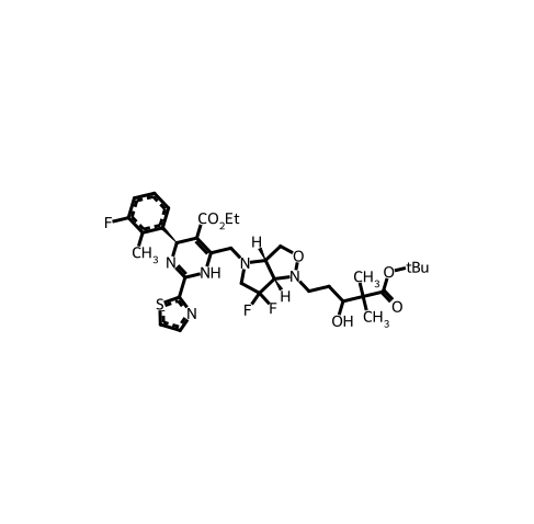 CCOC(=O)C1=C(CN2CC(F)(F)[C@@H]3[C@H]2CON3CCC(O)C(C)(C)C(=O)OC(C)(C)C)NC(c2nccs2)=N[C@H]1c1cccc(F)c1C